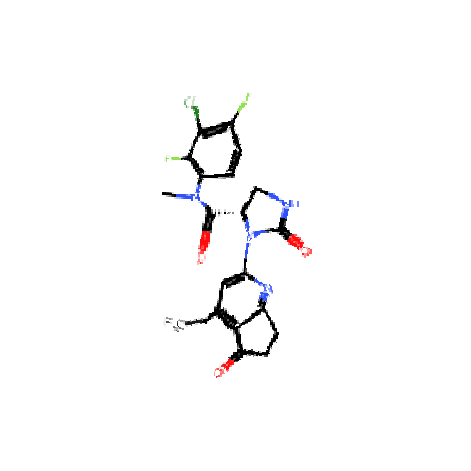 CN(C(=O)[C@@H]1CNC(=O)N1c1cc(C(F)(F)F)c2c(n1)CCC2=O)c1ccc(F)c(Cl)c1F